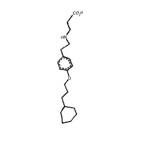 O=C(O)CCNCCc1ccc(OCCCC2CCCCC2)cc1